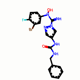 N=C(N(O)c1ccc(F)c(Br)c1)n1cc(NC(=O)NCc2ccccc2)cn1